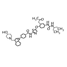 CCC(CC)NC(=O)Nc1ccc(Oc2cnc(NC(=O)c3ccc(-n4cc(CN5CCC(O)CC5)c5ccccc54)cc3)s2)c(CC(C)=O)c1